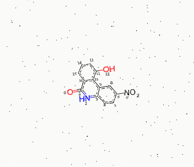 O=c1[nH]c2ccc([N+](=O)[O-])cc2c2c(O)cccc12